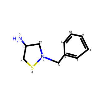 NC1CSN(Cc2ccccc2)C1